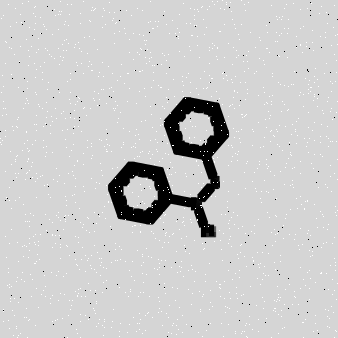 CCN(Sc1ccccc1)c1ccccc1